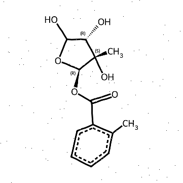 Cc1ccccc1C(=O)O[C@H]1OC(O)[C@H](O)[C@]1(C)O